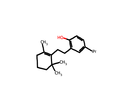 CC1=C(CCc2cc(C(C)C)ccc2O)C(C)(C)CCC1